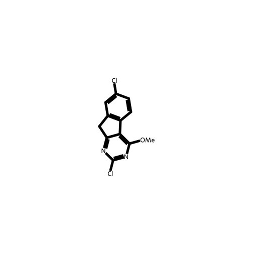 COc1nc(Cl)nc2c1-c1ccc(Cl)cc1C2